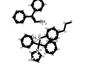 BC=C(c1ccccc1)c1ccccc1.CCCc1ccc([SiH2]C(c2ccccc2)(c2ccccc2)n2ccnc2)cc1